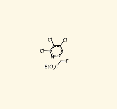 CCOC(=O)CF.Clc1ccnc(Cl)c1Cl